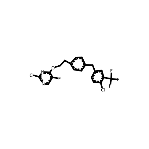 Fc1cnc(Cl)nc1OCCc1ccc(Cc2ccc(Cl)c(C(F)(F)F)c2)cc1